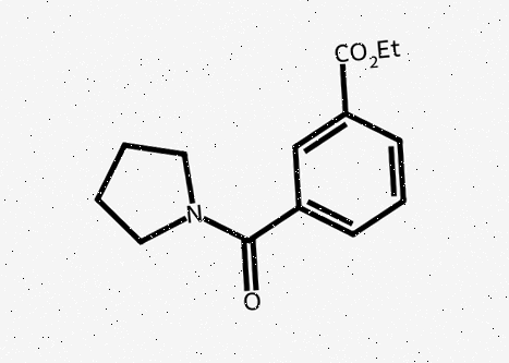 CCOC(=O)c1cccc(C(=O)N2CCCC2)c1